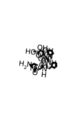 Nc1ccn(CC(=O)N[C@@H](Cc2ccccc2)C(=O)N[C@@H](Cc2ccccc2)C(=O)N[C@@H]2[C@@H](O)[C@H](O)[C@@H](CO)O[C@H]2O)c(=O)n1